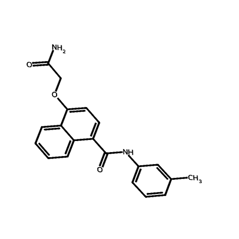 Cc1cccc(NC(=O)c2ccc(OCC(N)=O)c3ccccc23)c1